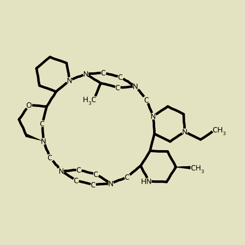 CCN1CCN2CN3CCN(C(C)C3)N3CCCCC3C3C[N@](CCO3)CN3CCN(CC3)CC3NC[C@H](C)CC3C2C1